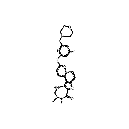 CC1CNc2c(oc3ccc4nc(Oc5cc(Cl)nc(CN6CCOCC6)n5)ccc4c23)C(=O)N1